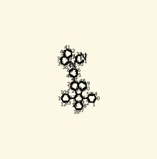 c1ccc(-c2c3c(c(-c4ccccc4)c4ccccc24)-c2ccc(-c4ccc(N(c5ccncc5)c5cccc6ccccc56)cc4)c4cccc-3c24)cc1